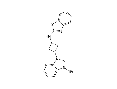 CC(C)N1SN(C2CC(Nc3nc4ccccc4s3)C2)c2ncccc21